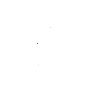 CC(C)OC(=O)[C@H](C)N[PH](=O)OC[C@H]1O[C@@H](n2ccc(=O)[nH]c2=O)C(Br)(Br)[C@@H]1O